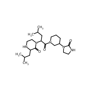 CC(C)CC1NCCN(C(CC(C)C)C(=O)N2CCCC(N3CCNC3=O)C2)C1=O